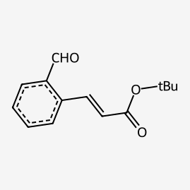 CC(C)(C)OC(=O)C=Cc1ccccc1C=O